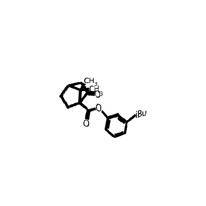 CCC(C)c1cccc(OC(=O)C23CCC(CC2=O)C3(C)C)c1